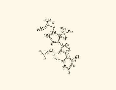 CC(O)Cn1ncc(-c2onc(-c3c(F)cccc3Cl)c2COC2CC2)c1C(F)(F)F